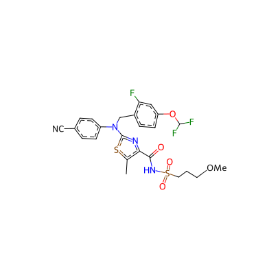 COCCCS(=O)(=O)NC(=O)c1nc(N(Cc2ccc(OC(F)F)cc2F)c2ccc(C#N)cc2)sc1C